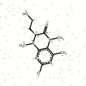 Cc1nc(Cl)nc2c1N(C)C(=O)[C@H](CCO)N2C